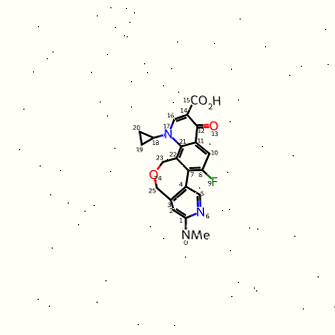 CNc1cc2c(cn1)-c1c(F)cc3c(=O)c(C(=O)O)cn(C4CC4)c3c1COC2